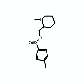 Cc1ccc(S(=O)OCC2CCCCN2C)cc1